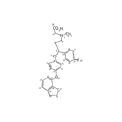 CN(CCC(Oc1ccc(Oc2cccc3c2OCC3)cc1)c1ccc(F)cc1)CC(=O)O